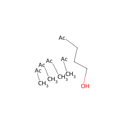 CC(=O)CCCO.CC(C)=O.CC(C)=O.CC(C)=O.CC(C)=O